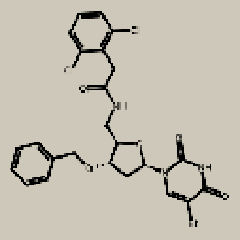 CCc1cn([C@H]2C[C@H](OCc3ccccc3)[C@@H](CNC(=O)Cc3c(Cl)cccc3Cl)O2)c(=O)[nH]c1=O